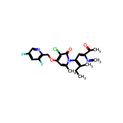 C=N/C(=C\C(=C(/C)CC)n1c(C)cc(OCc2ncc(F)cc2F)c(Cl)c1=O)C(C)=O